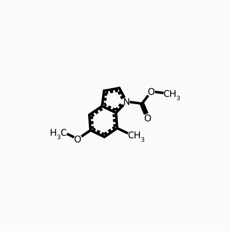 COC(=O)n1ccc2cc(OC)cc(C)c21